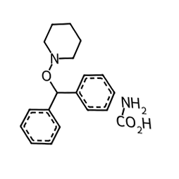 NC(=O)O.c1ccc(C(ON2CCCCC2)c2ccccc2)cc1